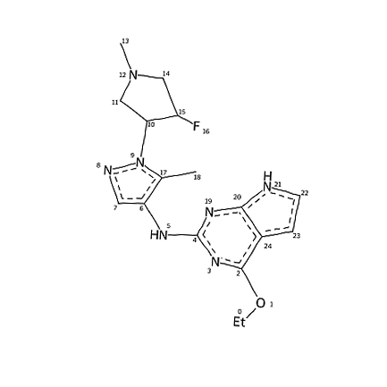 CCOc1nc(Nc2cnn(C3CN(C)CC3F)c2C)nc2[nH]ccc12